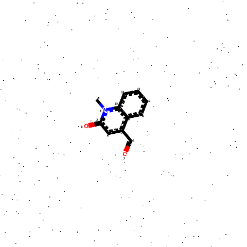 Cn1c(=O)cc(C=O)c2ccccc21